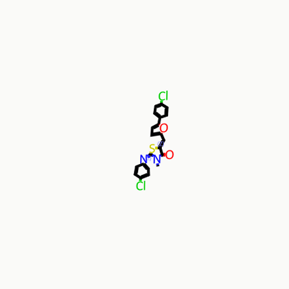 CN1C(=O)/C(=C/c2ccc(-c3ccc(Cl)cc3)o2)S/C1=N/c1ccc(Cl)cc1